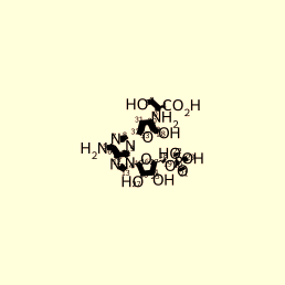 N[C@@H](CO)C(=O)O.Nc1ncnc2c1ncn2[C@@H]1O[C@H](COP(=O)(O)O)[C@@H](O)[C@H]1O.Oc1ccco1